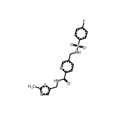 Cc1ncc(CNC(=O)c2ccc(CNS(=O)(=O)c3ccc(F)cc3)cn2)s1